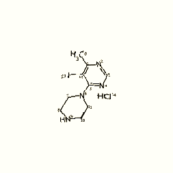 Cc1ncnc(N2CCNCC2)c1I.Cl